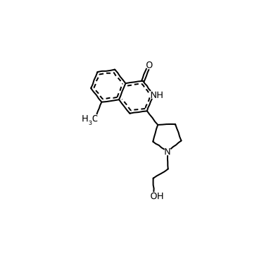 Cc1cccc2c(=O)[nH]c(C3CCN(CCO)C3)cc12